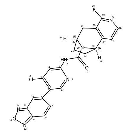 O=C(Nc1cc(Cl)c(-c2ccc3nonc3c2)cn1)N1[C@H]2CC[C@@H]1c1ccnc(F)c1C2